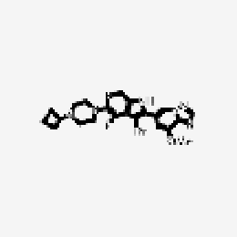 COc1cc(-c2[nH]c3cnc(N4CCN(C5CCC5)CC4)c(F)c3c2C(C)C)cn2ncnc12